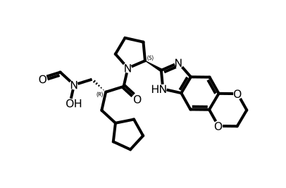 O=CN(O)C[C@@H](CC1CCCC1)C(=O)N1CCC[C@H]1c1nc2cc3c(cc2[nH]1)OCCO3